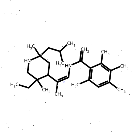 C=C(N/C=C(/C)C1CC(C)(CC(C)C)NCC1(C)CC)c1c(C)cc(C)c(C)c1C